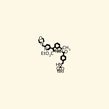 CCOC(=O)c1[nH]c2c([C@H](C)NC(=O)c3ccc(CNC(=O)OC(C)(C)C)cc3)cccc2c1-c1ccc(CN2CCOCC2)nc1